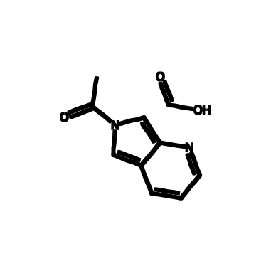 CC(=O)n1cc2cccnc2c1.O=CO